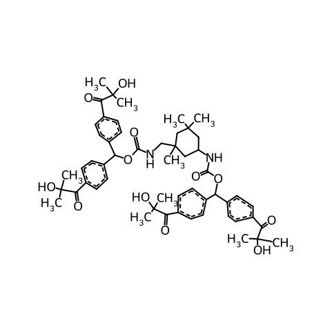 CC1(C)CC(NC(=O)OC(c2ccc(C(=O)C(C)(C)O)cc2)c2ccc(C(=O)C(C)(C)O)cc2)CC(C)(CNC(=O)OC(c2ccc(C(=O)C(C)(C)O)cc2)c2ccc(C(=O)C(C)(C)O)cc2)C1